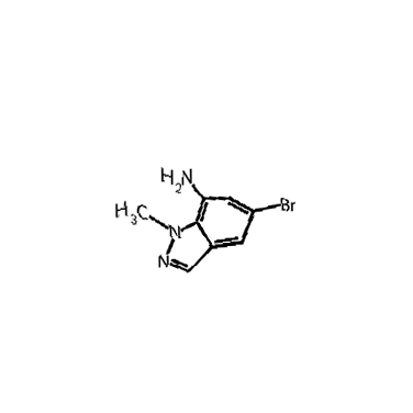 Cn1ncc2cc(Br)cc(N)c21